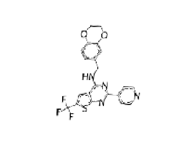 FC(F)(F)c1cc2c(NCc3ccc4c(c3)OCCO4)nc(-c3ccncc3)nc2s1